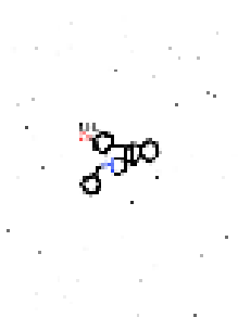 COc1ccc(C2=CC3c4ccccc4C2CC32CCN(Cc3ccccc3)C2)cc1